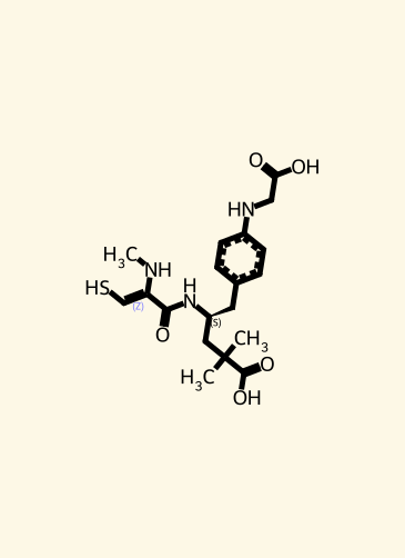 CN/C(=C\S)C(=O)N[C@@H](Cc1ccc(NCC(=O)O)cc1)CC(C)(C)C(=O)O